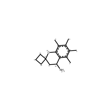 Cc1c(C)c(C)c2c(c1C)OC1(CCC1)CC2N